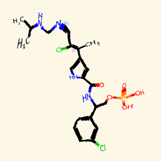 C/C(=C(Cl)\C=N/CNC(C)C)c1c[nH]c(C(=O)NC(COP(=O)(O)O)c2cccc(Cl)c2)c1